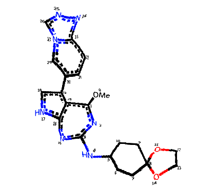 COc1nc(NC2CCC3(CC2)OCCO3)nc2[nH]cc(-c3ccc4nncn4c3)c12